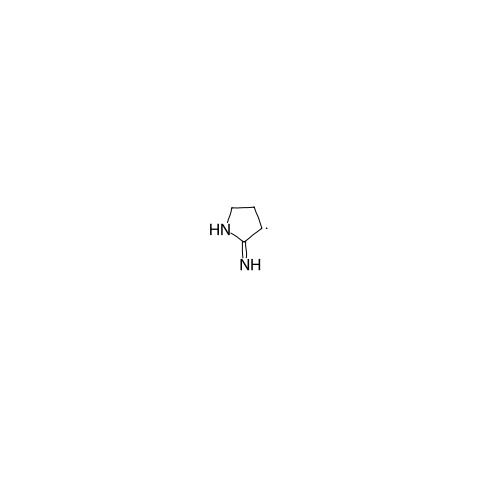 N=C1[CH]CCN1